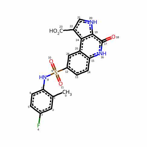 Cc1cc(F)ccc1NS(=O)(=O)c1ccc2[nH]c(=O)c3[nH]cc(C(=O)O)c3c2c1